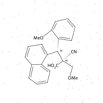 COC[C@@](C#N)(C(=O)O)[C@@H](c1ccccc1OC)c1cccc2ccccc12